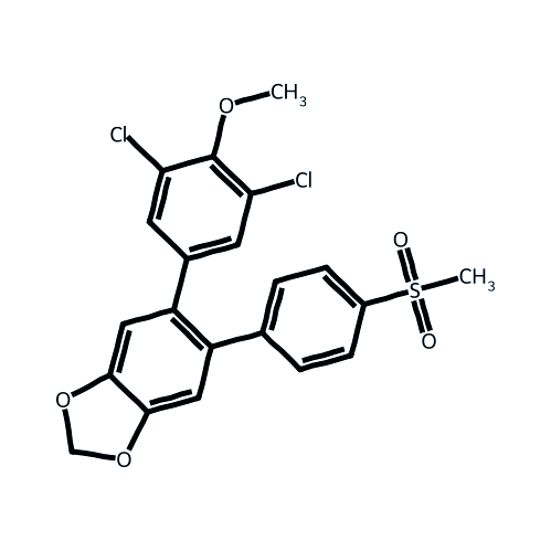 COc1c(Cl)cc(-c2cc3c(cc2-c2ccc(S(C)(=O)=O)cc2)OCO3)cc1Cl